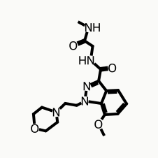 CNC(=O)CNC(=O)c1nn(CCN2CCOCC2)c2c(OC)cccc12